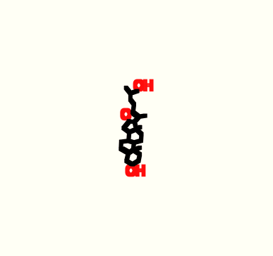 CC1=C(CCC(C)CO)OC2CC3C4CC=C5CC(O)CCC5(C)C4CCC3(C)C12